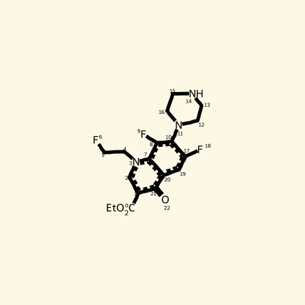 CCOC(=O)c1cn(CCF)c2c(F)c(N3CCNCC3)c(F)cc2c1=O